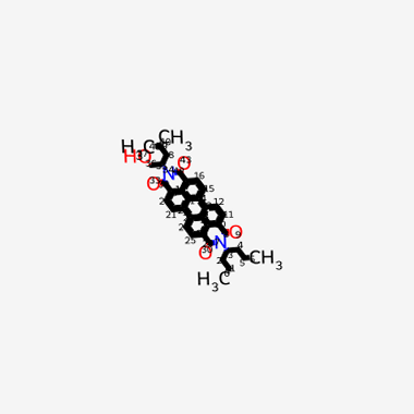 CCCC(CCC)N1C(=O)c2ccc3c4ccc5c6c(ccc(c7ccc(c2c37)C1=O)c64)C(=O)N(C(CO)CC(C)C)C5=O